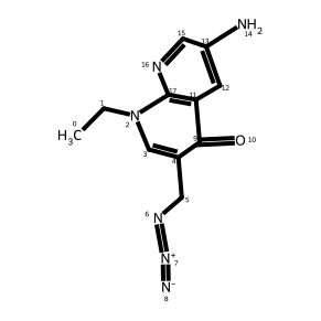 CCn1cc(CN=[N+]=[N-])c(=O)c2cc(N)cnc21